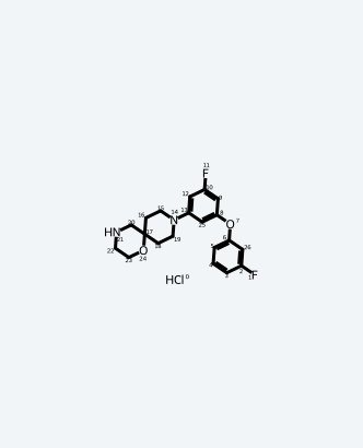 Cl.Fc1cccc(Oc2cc(F)cc(N3CCC4(CC3)CNCCO4)c2)c1